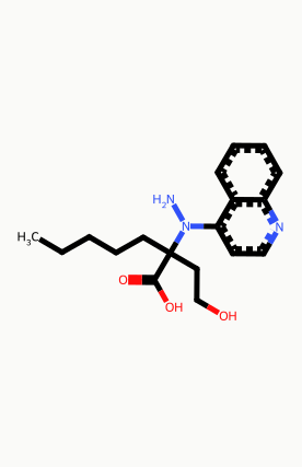 CCCCCC(CCO)(C(=O)O)N(N)c1ccnc2ccccc12